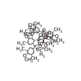 COc1c(C)cc(P(=O)(c2cc(C)c(OC)c(C)c2)c2cc(-c3c(P(=O)(c4cc(C)c(OC)c(C)c4)c4cc(C)c(OC)c(C)c4)cc(C)c4c3OC(C)(C)O4)c3c(c2C)OC(C)(C)O3)cc1C